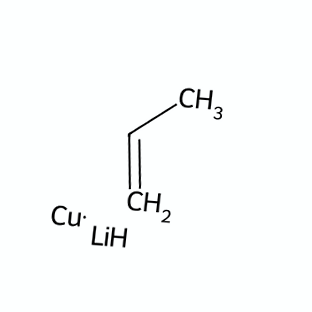 C=CC.[Cu].[LiH]